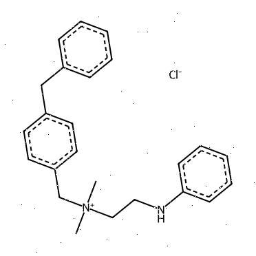 C[N+](C)(CCNc1ccccc1)Cc1ccc(Cc2ccccc2)cc1.[Cl-]